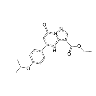 CCOC(=O)c1cnn2c(=O)cc(-c3ccc(OC(C)C)cc3)[nH]c12